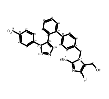 CCCCc1nc(Cl)c(CO)n1Cc1ccc(-c2ccccc2-c2nnnn2-c2ccc([N+](=O)[O-])cc2)cc1